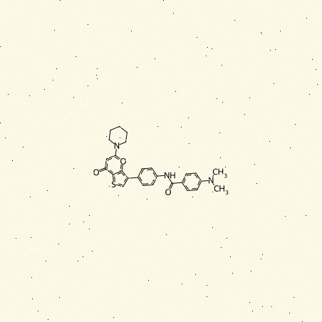 CN(C)c1ccc(C(=O)Nc2ccc(-c3csc4c(=O)cc(N5CCCCC5)oc34)cc2)cc1